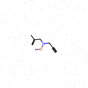 C#CCN(CC(=C)C)SI